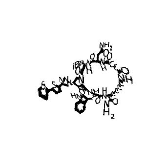 CC[C@H](C)[C@@H]1NC(=O)C(CC(N)=O)NC(=O)CCC(=O)NCCCC[C@@H](C(N)=O)NC(=O)[C@H](Cc2c[nH]c3ccccc23)NC(=O)[C@@H]2C[C@H](n3cc(-c4ccc(-c5cccs5)s4)nn3)CN2C1=O